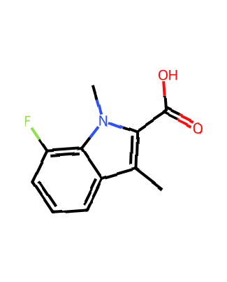 Cc1c(C(=O)O)n(C)c2c(F)cccc12